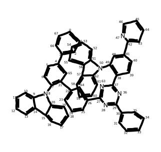 c1ccc(-c2ccc(-n3c4ccccc4c4ccccc43)c(-c3cccc(-c4nc(-c5ccccc5)nc(-c5ccc(-c6ccccn6)cc5-n5c6ccccc6c6ccccc65)n4)c3)c2)cc1